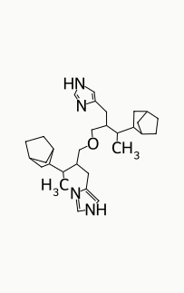 CC(C(COCC(Cc1c[nH]cn1)C(C)C1CC2CCC1C2)Cc1c[nH]cn1)C1CC2CCC1C2